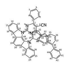 N#Cc1c(-c2ccccc2)nc(-n2c3ccccc3c3ccc4c5ccccc5n(-c5cccc(-c6cccc(-c7ccccc7)c6)c5)c4c32)nc1-c1ccccc1